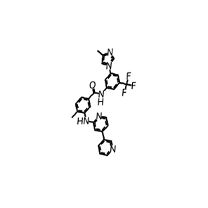 Cc1cn(-c2cc(NC(=O)c3ccc(C)c(Nc4cc(-c5cccnc5)ccn4)c3)cc(C(F)(F)F)c2)cn1